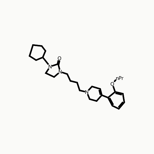 CCCOc1ccccc1C1=CCN(CCCCN2CCN(C3CCCCC3)C2=O)CC1